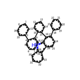 c1ccc(-c2ccccc2-c2ccccc2-c2c(-c3ccccc3)ccc3c2[nH]c2ccccc23)cc1